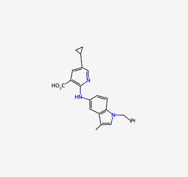 Cc1cn(CC(C)C)c2ccc(Nc3ncc(C4CC4)cc3C(=O)O)cc12